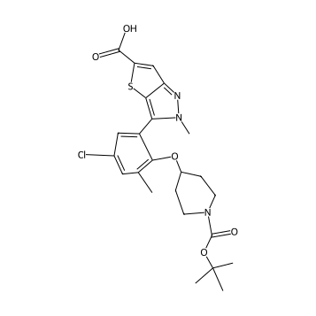 Cc1cc(Cl)cc(-c2c3sc(C(=O)O)cc3nn2C)c1OC1CCN(C(=O)OC(C)(C)C)CC1